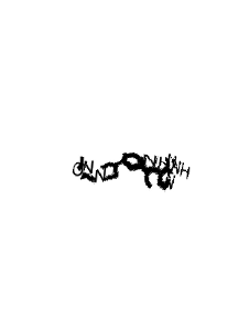 CCc1c(-c2ccnc3[nH]ncc23)[nH]c2ccc(C3CCN(Cc4coc(C)n4)CC3)cc12